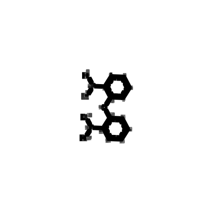 CCP(CC)c1ccccc1Oc1ccccc1P(CC)CC